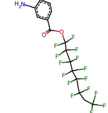 Nc1cccc(C(=O)OC(F)(F)C(F)(F)C(F)(F)C(F)(F)C(F)(F)C(F)(F)CC(F)(F)F)c1